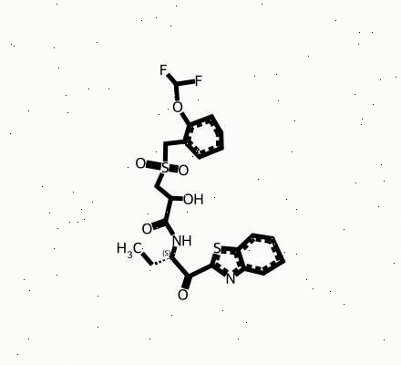 CC[C@H](NC(=O)C(O)CS(=O)(=O)Cc1ccccc1OC(F)F)C(=O)c1nc2ccccc2s1